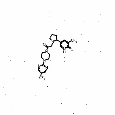 O=C(CN1CCCC1c1c[nH]c(=O)c(C(F)(F)F)c1)N1CCN(c2ncc(C(F)(F)F)cn2)CC1